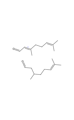 CC(C)=CCC/C(C)=C/C=O.CC(C)=CCCC(C)CC=O